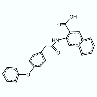 O=C(Cc1ccc(Oc2ccccc2)cc1)Nc1cc2ccccc2cc1C(=O)O